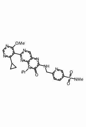 CNS(=O)(=O)c1ccc(CNc2nc3cnc(-c4c(OC)ncnc4C4CC4)nc3n(C(C)C)c2=O)nc1